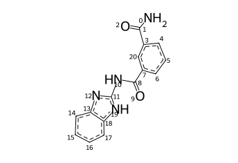 NC(=O)c1cccc(C(=O)Nc2nc3ccccc3[nH]2)c1